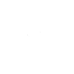 C=CCN=C1OC(CC=C)C(=O)N1CC=C